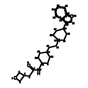 O=C(CC1COC1)NC1CCC(CCN2CCC(c3coc4ccccc34)CC2)CC1